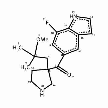 COC(C)(C)CC1(C(=O)c2cc(F)c3[nH]ccc3c2)CCNC1